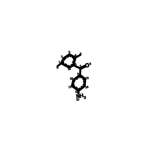 Cc1ccc(C)c(C(=O)c2ccc(N)cc2)c1